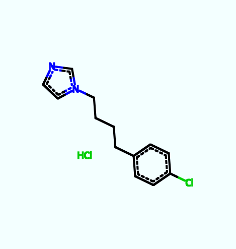 Cl.Clc1ccc(CCCCn2ccnc2)cc1